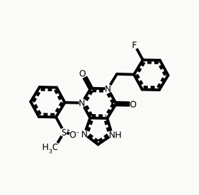 C[S+]([O-])c1ccccc1-n1c(=O)n(Cc2ccccc2F)c(=O)c2[nH]cnc21